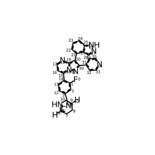 Fc1cc(N2C[C@@H]3CC[C@H]2CN3)ccc1-c1ccnc2c(-c3cccc4[nH]ncc34)c(-c3ccncc3)nn12